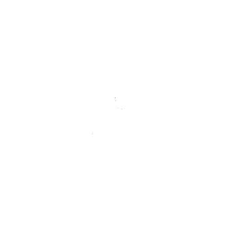 c1ccc(-c2ccc3ccc4c5ccccc5c5ccc6ccccc6c5c4c3c2)cc1